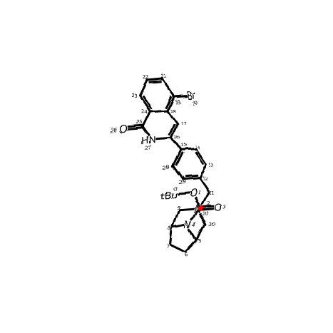 CC(C)(C)OC(=O)N1C2CCC1CN(Cc1ccc(-c3cc4c(Br)cccc4c(=O)[nH]3)cc1)C2